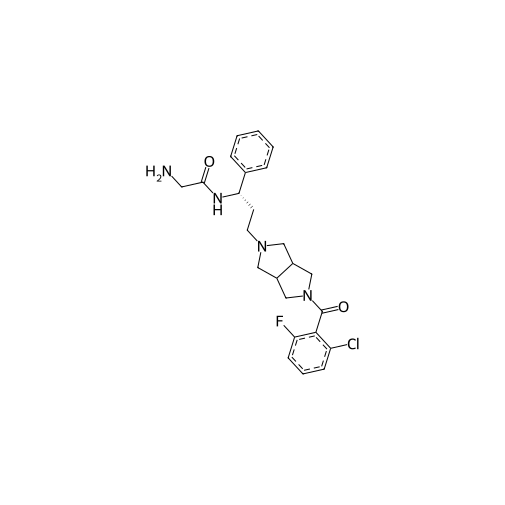 NCC(=O)N[C@@H](CCN1CC2CN(C(=O)c3c(F)cccc3Cl)CC2C1)c1ccccc1